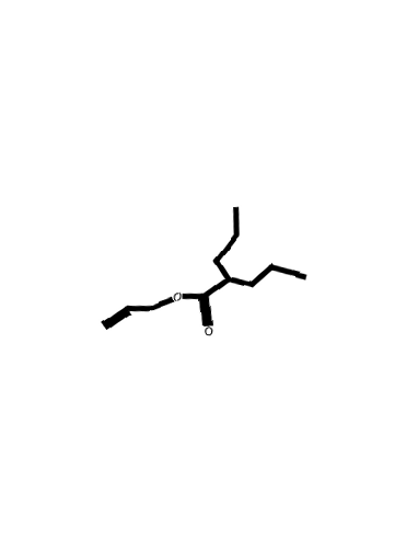 C=CCOC(=O)C(CCC)CCC